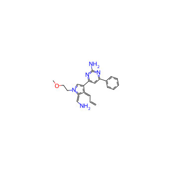 C=C/C=c1/c(-c2cc(-c3ccccc3)nc(N)n2)cn(CCOC)/c1=C/N